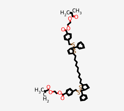 C=C(C)C(=O)OCCOC(=O)c1ccc(CSC2(c3ccccc3)SC3(CCCCCCCCCCC45C=CC(C4)C(SCc4ccc(C(=O)OCCOC(=O)C(=C)C)cc4)(c4ccccc4)S5)C=CC2C3)cc1